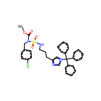 CC(C)(C)OC(=O)N(Cc1ccc(Cl)cc1)S(=O)(=O)NCCCc1cn(C(c2ccccc2)(c2ccccc2)c2ccccc2)cn1